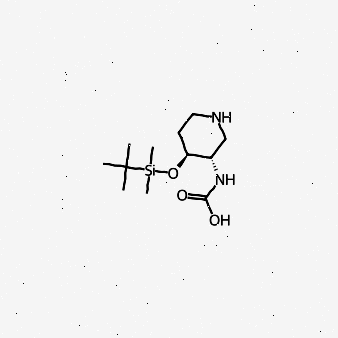 CC(C)(C)[Si](C)(C)O[C@H]1CCNC[C@@H]1NC(=O)O